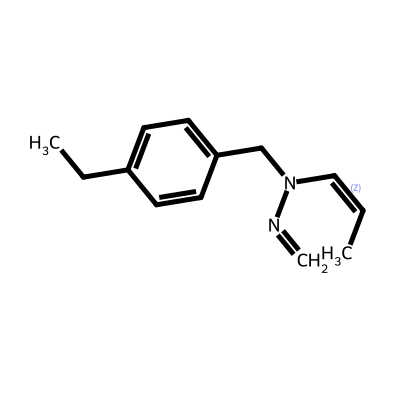 C=NN(/C=C\C)Cc1ccc(CC)cc1